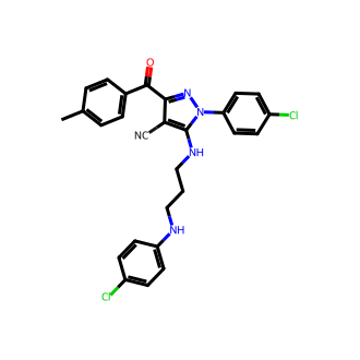 Cc1ccc(C(=O)c2nn(-c3ccc(Cl)cc3)c(NCCCNc3ccc(Cl)cc3)c2C#N)cc1